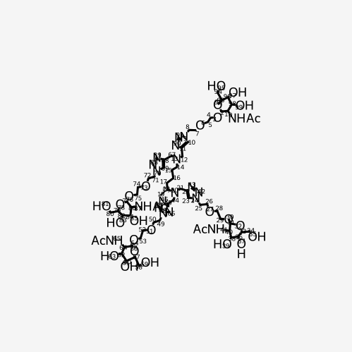 CC(=O)NC1C(OCCOCCn2cc(CN(CCCC[C@H](C)N(Cc3cn(CCOCCOC4OC(CO)C(O)C(O)C4NC(C)=O)nn3)Cc3nnn(CCOCCOC4OC(CO)C(O)C(O)C4NC(C)=O)n3)Cc3cn(CCOCCOC4OC(CO)C(O)C(O)C4NC(C)=O)nn3)nn2)OC(CO)C(O)C1O